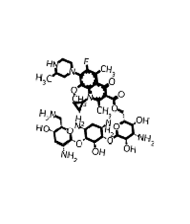 COc1c(N2CCNC(C)C2)c(F)c(C)c2c(=O)c(C(=O)OC[C@H]3OC(O[C@@H]4[C@@H](O)[C@H](O[C@H]5O[C@H](CN)[C@@H](O)C[C@H]5N)[C@@H](N)C[C@H]4N)[C@H](O)[C@@H](N)[C@@H]3O)c(C)n(C3CC3)c12